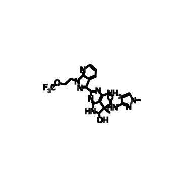 Cn1ccc(NC(=O)C2(C)c3c(N)nc(-c4nn(CCOC(F)(F)F)c5ncccc45)nc3NC2O)n1